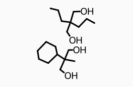 CC(CO)(CO)C1CCCCC1.CCCC(CO)(CO)CCC